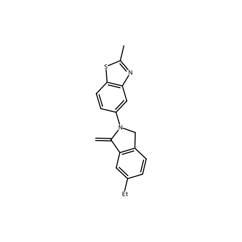 C=C1c2cc(CC)ccc2CN1c1ccc2sc(C)nc2c1